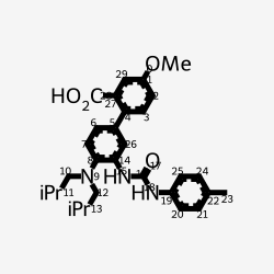 COc1ccc(-c2ccc(N(CC(C)C)CC(C)C)c(NC(=O)Nc3ccc(C)cc3)c2)c(C(=O)O)c1